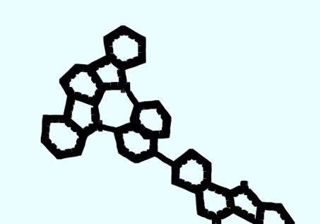 c1ccc(-n2c3ccccc3c3ccc4c5ccccc5n(-c5ccc(-c6ccc7c(cnc8c9ccccc9sc78)c6)cc5)c4c32)cc1